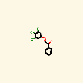 O=C(COc1cc(F)c(Cl)c(Cl)c1)c1ccccc1